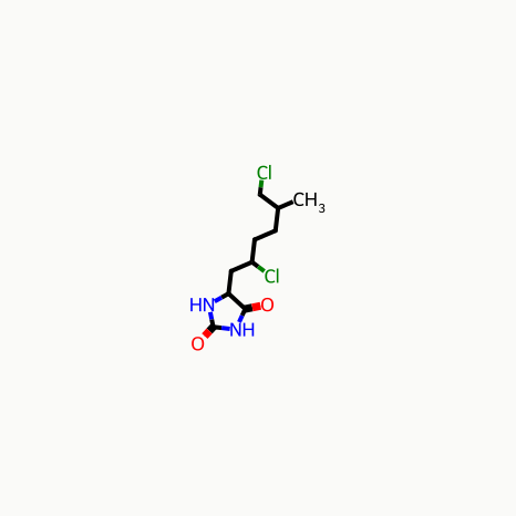 CC(CCl)CCC(Cl)CC1NC(=O)NC1=O